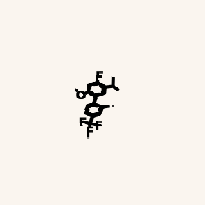 [CH2]c1cc(C(F)(F)F)ccc1-c1cc(C(C)C)c(F)cc1OC